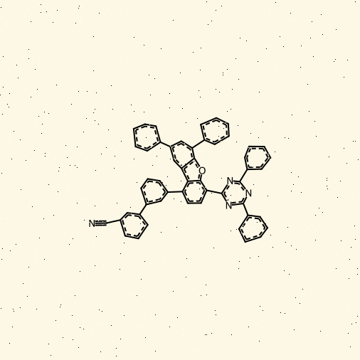 N#Cc1cccc(-c2cccc(-c3ccc(-c4nc(-c5ccccc5)nc(-c5ccccc5)n4)c4oc5c(-c6ccccc6)cc(-c6ccccc6)cc5c34)c2)c1